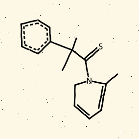 CC1=CC=CCN1C(=S)C(C)(C)c1ccccc1